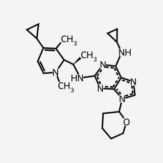 CC1=C(C2CC2)C=CN(C)C1[C@@H](C)Nc1nc(NC2CC2)c2ncn(C3CCCCO3)c2n1